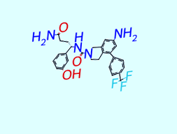 NC(=O)CC[C@H](NC(=O)N1CCc2c(cc(N)cc2-c2ccc(C(F)(F)F)cc2)C1)c1cccc(O)c1